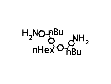 CCCCCCC(c1ccc(C(CCCC)c2ccc(N)cc2)cc1)c1ccc(C(CCCC)c2ccc(N)cc2)cc1